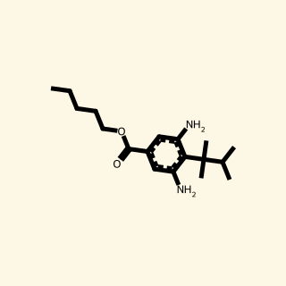 CCCCCOC(=O)c1cc(N)c(C(C)(C)C(C)C)c(N)c1